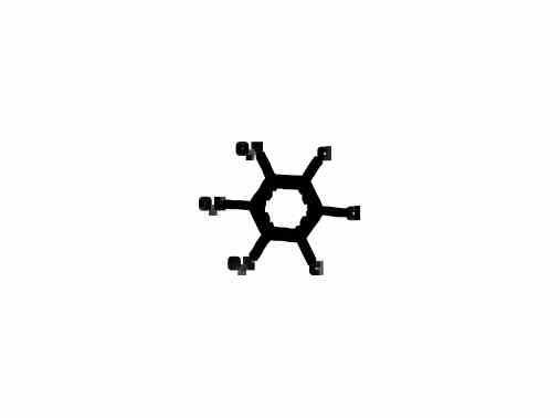 O=[N+]([O-])c1c(Cl)c(Cl)c(Cl)c([N+](=O)[O-])c1[N+](=O)[O-]